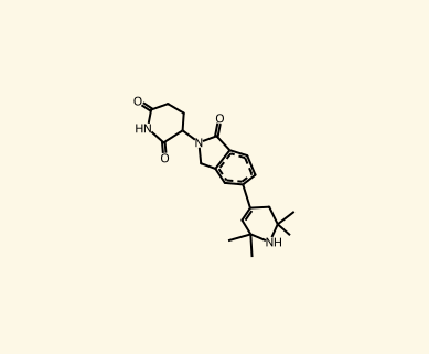 CC1(C)C=C(c2ccc3c(c2)CN(C2CCC(=O)NC2=O)C3=O)CC(C)(C)N1